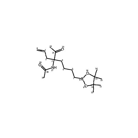 C=CCC(CCCCB1OC(C)(C)C(C)(C)O1)(NC(C)=O)C(C)=O